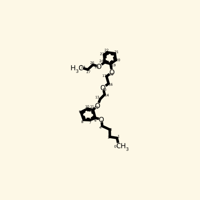 CCCCCOc1ccccc1OCCOCCOc1ccccc1OCCC